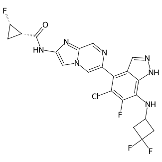 O=C(Nc1cn2cc(-c3c(Cl)c(F)c(NC4CC(F)(F)C4)c4[nH]ncc34)ncc2n1)[C@@H]1C[C@@H]1F